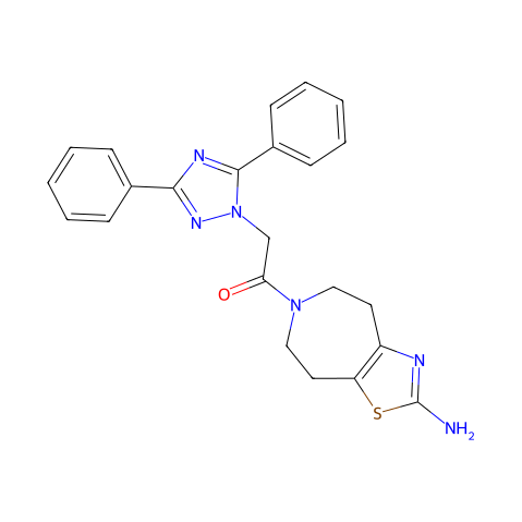 Nc1nc2c(s1)CCN(C(=O)Cn1nc(-c3ccccc3)nc1-c1ccccc1)CC2